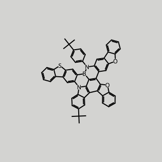 CC(C)(C)c1ccc(N2B3c4cc5sc6ccccc6c5cc4-n4c5ccc(C(C)(C)C)cc5c5c6c(oc7ccccc76)c(c3c54)-c3cc4oc5ccccc5c4cc32)cc1